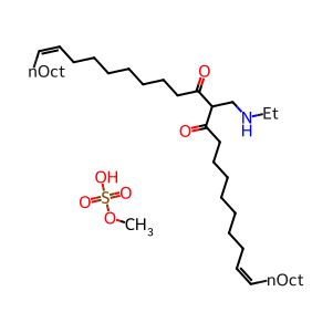 CCCCCCCC/C=C\CCCCCCCC(=O)C(CNCC)C(=O)CCCCCCC/C=C\CCCCCCCC.COS(=O)(=O)O